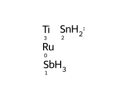 [Ru].[SbH3].[SnH2].[Ti]